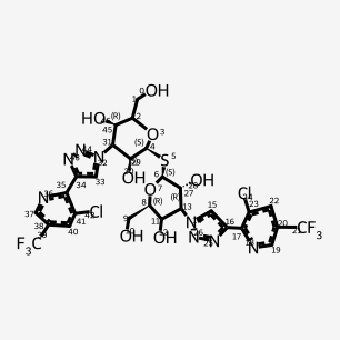 OCC1O[C@@H](S[C@@H]2O[C@H](CO)C(O)C(n3cc(-c4ncc(C(F)(F)F)cc4Cl)nn3)[C@H]2O)[C@@H](O)C(n2cc(-c3ncc(C(F)(F)F)cc3Cl)nn2)[C@H]1O